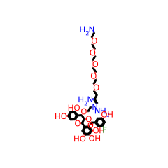 NCCOCCOCCOCCOCCOCC/C(N)=C/N(N)CCOC1c2c(O)cc(O)cc2OC(c2cc(O)c(O)c(O)c2)C1OC(=O)c1cc(O)cc(F)c1